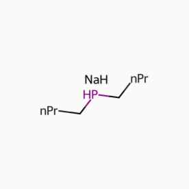 CCCCPCCCC.[NaH]